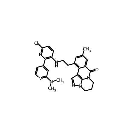 Cc1cc(CCNc2ccc(Cl)nc2-c2ccnc(N(C)C)c2)c2c(c1)c(=O)n1c3c2cnn3CCC1